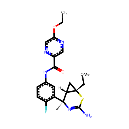 COC[C@]12C[C@H]1[C@](C)(c1cc(NC(=O)c3cnc(OCC(F)(F)F)cn3)ccc1F)N=C(N)S2